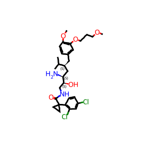 COCCCOc1cc(C[C@@H](C[C@H](N)[C@@H](O)CNC(=O)C2(c3ccc(Cl)cc3Cl)CC2)C(C)C)ccc1OC